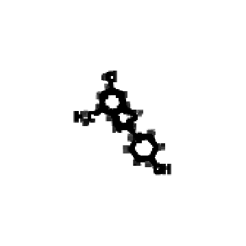 Cc1cc(Cl)cc2sc(N3CCC(O)CC3)nc12